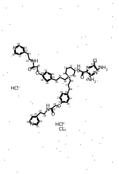 Cl.Cl.Nc1nc(N)c(C(=O)N[C@H]2CCC[N+](CCCc3ccc(OCC(=O)NCCc4ccncc4)cc3)(CCCc3ccc(OCC(=O)NCCc4ccncc4)cc3)C2)nc1Cl.[Cl-]